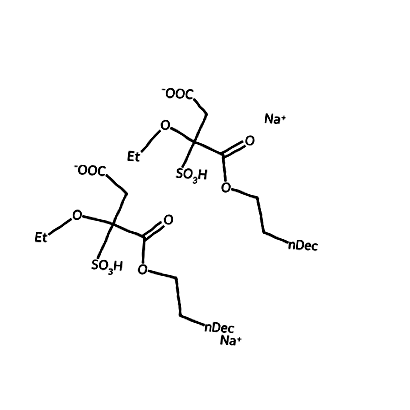 CCCCCCCCCCCCOC(=O)C(CC(=O)[O-])(OCC)S(=O)(=O)O.CCCCCCCCCCCCOC(=O)C(CC(=O)[O-])(OCC)S(=O)(=O)O.[Na+].[Na+]